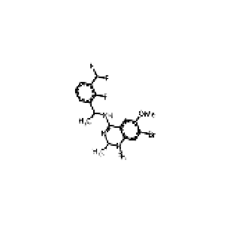 [2H]N1c2cc(Br)c(OC)cc2C(NC(C)c2cccc(C(F)F)c2F)=N[C@@H]1C